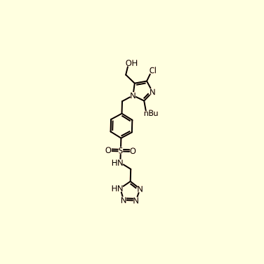 CCCCc1nc(Cl)c(CO)n1Cc1ccc(S(=O)(=O)NCc2nnn[nH]2)cc1